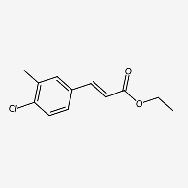 CCOC(=O)/C=C/c1ccc(Cl)c(C)c1